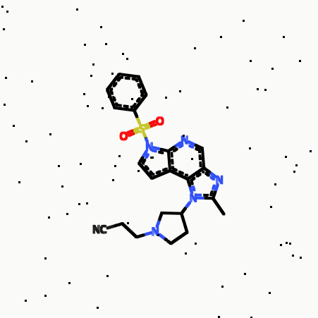 Cc1nc2cnc3c(ccn3S(=O)(=O)c3ccccc3)c2n1C1CCN(CCC#N)C1